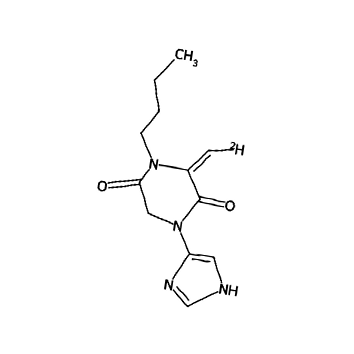 [2H]/C=C1\C(=O)N(c2c[nH]cn2)CC(=O)N1CCCC